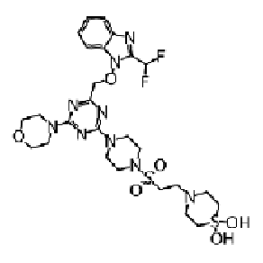 O=S(=O)(CCN1CCS(O)(O)CC1)N1CCN(c2nc(COn3c(C(F)F)nc4ccccc43)nc(N3CCOCC3)n2)CC1